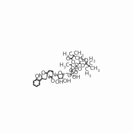 CC(OC(=O)C(C)(C)C)OP(=O)(OC(C)OC(=O)C(C)(C)C)OP(=O)(O)OC[C@H]1O[C@@H](n2ccc(=O)n(Cc3noc4ccccc34)c2=O)C(O)C1O